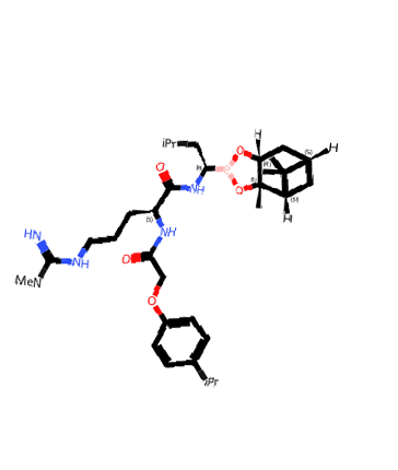 CNC(=N)NCCC[C@H](NC(=O)COc1ccc(C(C)C)cc1)C(=O)N[C@@H](CC(C)C)B1O[C@@H]2C[C@@H]3C[C@@H](C3(C)C)[C@]2(C)O1